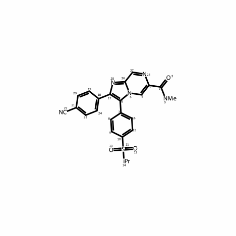 CNC(=O)c1cn2c(-c3ccc(S(=O)(=O)C(C)C)cc3)c(-c3ccc(C#N)cc3)nc2cn1